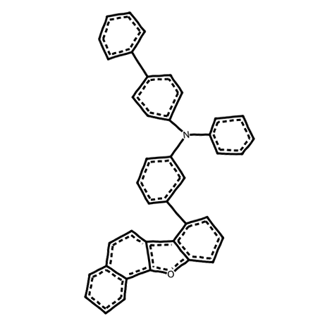 c1ccc(-c2ccc(N(c3ccccc3)c3cccc(-c4cccc5oc6c7ccccc7ccc6c45)c3)cc2)cc1